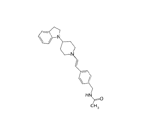 CC(=O)NCc1ccc(C=CN2CCC(N3CCc4ccccc43)CC2)cc1